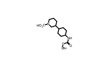 CC(C)(C)OC(=O)NC1CCC(C2CCCN(C(=O)O)C2)CC1